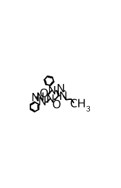 CCCn1cnc2c1c(=O)n(Cn1nnc3ccccc31)c(=O)n2-c1ccccc1